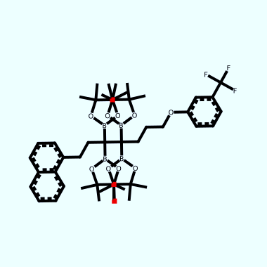 CC1(C)OB(C(CCCOc2cccc(C(F)(F)F)c2)(B2OC(C)(C)C(C)(C)O2)C(CCc2cccc3ccccc23)(B2OC(C)(C)C(C)(C)O2)B2OC(C)(C)C(C)(C)O2)OC1(C)C